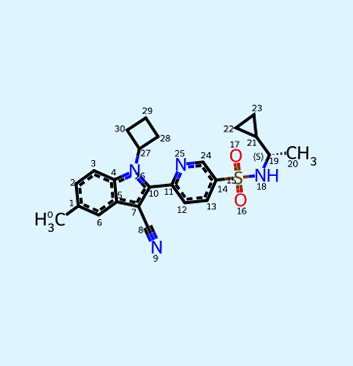 Cc1ccc2c(c1)c(C#N)c(-c1ccc(S(=O)(=O)N[C@@H](C)C3CC3)cn1)n2C1CCC1